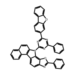 c1ccc(-c2nc(-c3ccc4c(c3)oc3ccccc34)nc(-n3c4ccc5ccccc5c4c4ccc5nc(-c6ccccc6)oc5c43)n2)cc1